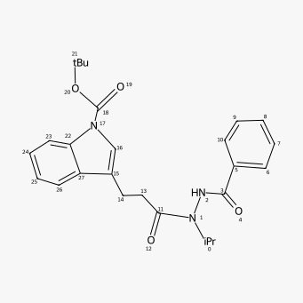 CC(C)N(NC(=O)c1ccccc1)C(=O)CCc1cn(C(=O)OC(C)(C)C)c2ccccc12